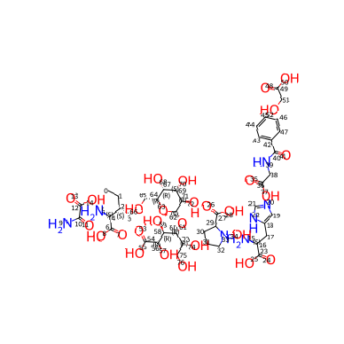 CC[C@H](C)[C@H](N)C(=O)O.NC(=O)C(=O)O.N[C@@H](Cc1cnc[nH]1)C(=O)O.O=C(O)C1CCCN1O.O=C(O)CNC(=O)c1ccccc1.O=C(O)CO.O=C(O)[C@H](O)[C@@H](O)[C@H](O[C@@H]1O[C@H](CO)[C@H](O)[C@H](O)[C@H]1O)[C@H](O)CO